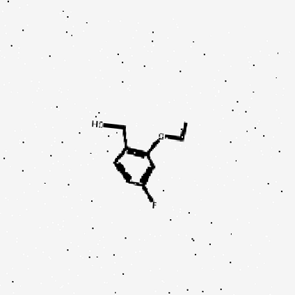 CCOc1cc(F)ccc1CO